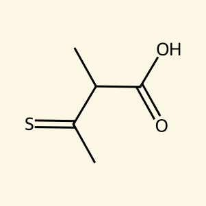 CC(=S)C(C)C(=O)O